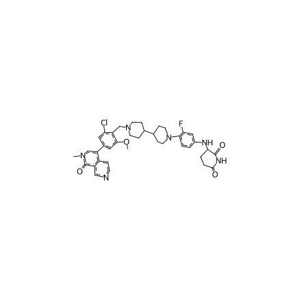 COc1cc(-c2cn(C)c(=O)c3cnccc23)cc(Cl)c1CN1CCC(C2CCN(c3ccc(NC4CCC(=O)NC4=O)cc3F)CC2)CC1